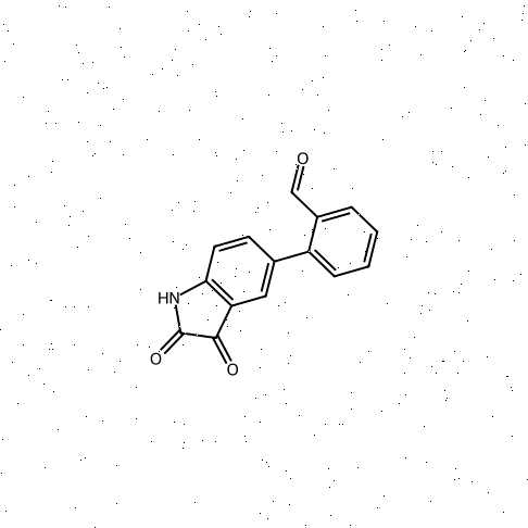 O=Cc1ccccc1-c1ccc2c(c1)C(=O)C(=O)N2